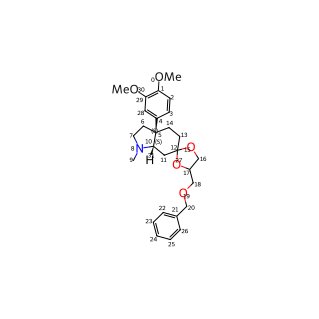 COc1ccc([C@]23CCN(C)[C@H]2CC2(CC3)OCC(COCc3ccccc3)O2)cc1OC